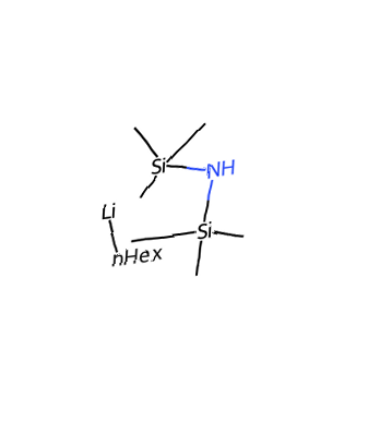 C[Si](C)(C)N[Si](C)(C)C.[Li][CH2]CCCCC